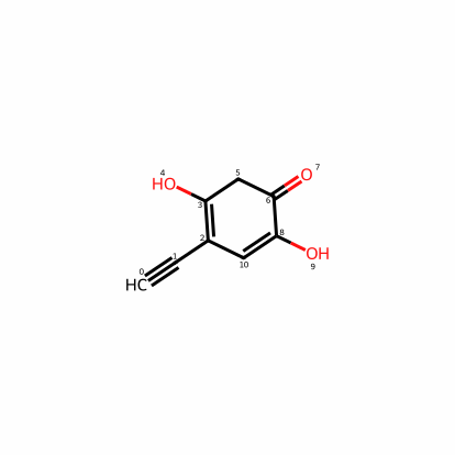 C#CC1=C(O)CC(=O)C(O)=C1